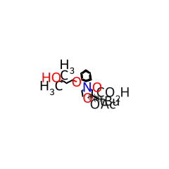 CC(=O)O[C@@](C(=O)O)([C@H]1OCCN(c2ccccc2OCCC(C)(C)O)C1=O)C(C)(C)C